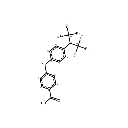 O=C(O)c1ccc(Oc2ccc(C(C(F)(F)F)C(F)(F)F)cc2)cc1